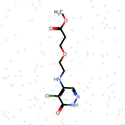 COC(=O)CCOCCNc1cn[nH]c(=O)c1Cl